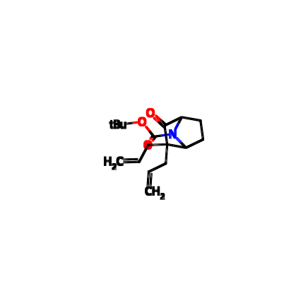 C=CCC1(CC=C)C(=O)C2CCC1N2C(=O)OC(C)(C)C